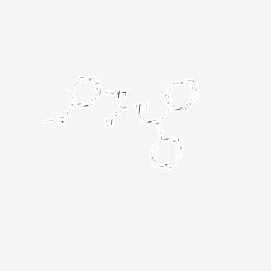 CSc1cccc(NC(=O)NC=C(c2ccccc2)c2ccccc2)c1